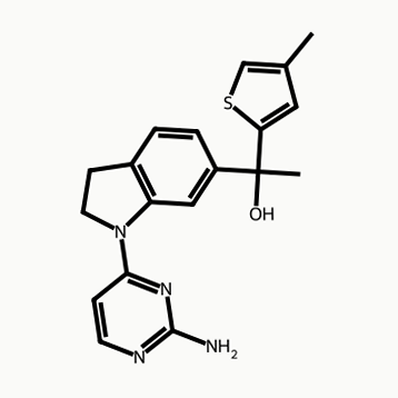 Cc1csc(C(C)(O)c2ccc3c(c2)N(c2ccnc(N)n2)CC3)c1